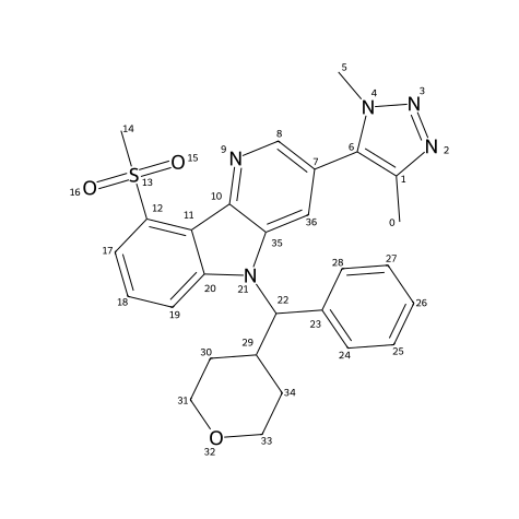 Cc1nnn(C)c1-c1cnc2c3c(S(C)(=O)=O)cccc3n(C(c3ccccc3)C3CCOCC3)c2c1